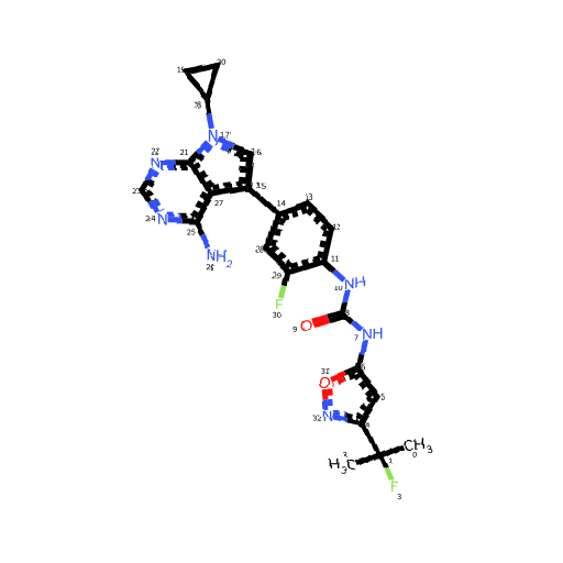 CC(C)(F)c1cc(NC(=O)Nc2ccc(-c3cn(C4CC4)c4ncnc(N)c34)cc2F)on1